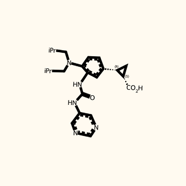 CC(C)CN(CC(C)C)c1ccc([C@@H]2C[C@@H]2C(=O)O)cc1NC(=O)Nc1cncnc1